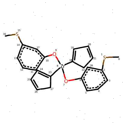 CSc1cccc([O][Zr]([O]c2cccc(SC)c2)([C]2=CC=CC2)[C]2=CC=CC2)c1